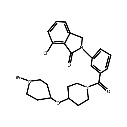 CC(C)N1CCC(OC2CCN(C(=O)c3cccc(N4Cc5cccc(Cl)c5C4=O)c3)CC2)CC1